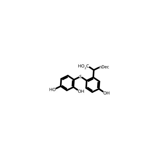 CCCCCCCCCCC(C(=O)O)c1cc(O)ccc1Sc1ccc(O)cc1O